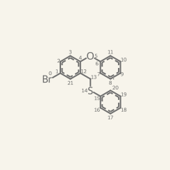 Brc1ccc(Oc2c[c]ccc2)c(CSc2ccccc2)c1